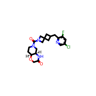 O=C1CO[C@H]2CCN(C(=O)N3CC4(CC(Cc5ncc(Cl)cc5F)C4)C3)C[C@H]2N1